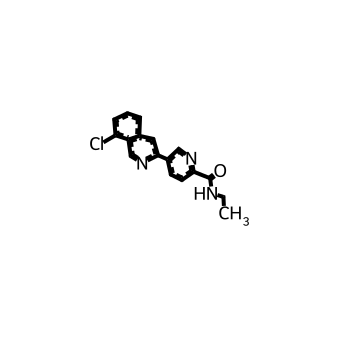 CCNC(=O)c1ccc(-c2cc3cccc(Cl)c3cn2)cn1